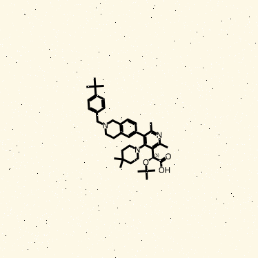 Cc1nc(C)c([C@H](OC(C)(C)C)C(=O)O)c(N2CCC(C)(C)CC2)c1-c1ccc2c(c1)CCN(Cc1ccc(C(C)(C)C)cc1)C2